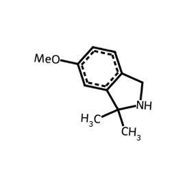 COc1ccc2c(c1)C(C)(C)NC2